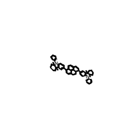 CC12CCCCC1(C)N(c1ccccc1)c1ccc(-c3ccc4ccc5c(-c6ccc7c(c6)C6(C)CCCCC6(C)N7c6ccccc6)ccc6ccc3c4c65)cc12